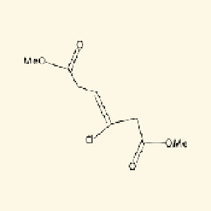 COC(=O)CC=C(Cl)CC(=O)OC